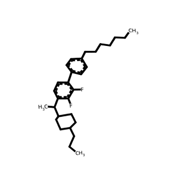 CCCCCCCc1ccc(-c2ccc(C(C)C3CCC(CCC)CC3)c(F)c2F)cc1